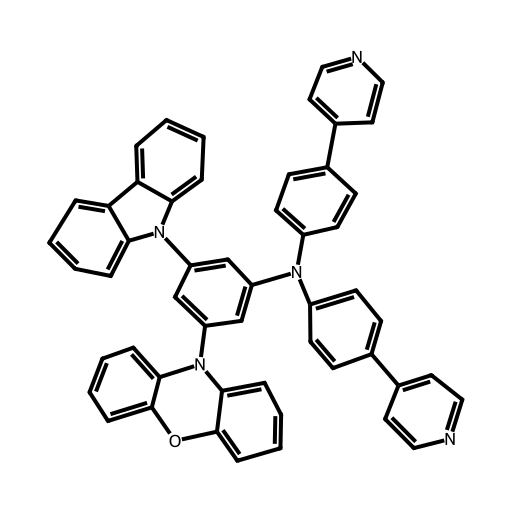 c1ccc2c(c1)Oc1ccccc1N2c1cc(N(c2ccc(-c3ccncc3)cc2)c2ccc(-c3ccncc3)cc2)cc(-n2c3ccccc3c3ccccc32)c1